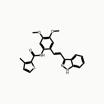 COc1cc(C=Cc2n[nH]c3ccccc23)c(NC(=O)c2sccc2C)cc1OC